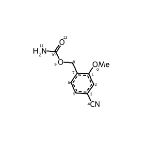 COc1cc(C#N)ccc1COC(N)=O